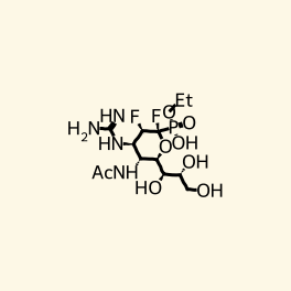 CCOP(=O)(O)[C@]1(F)O[C@@H]([C@H](O)[C@H](O)CO)[C@H](NC(C)=O)[C@@H](NC(=N)N)[C@H]1F